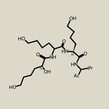 CC(=O)C(NC(=O)[C@H](CCCCO)NC(=O)C(CCCCO)NC(=O)[C@@H](O)CCCCO)C(C)C